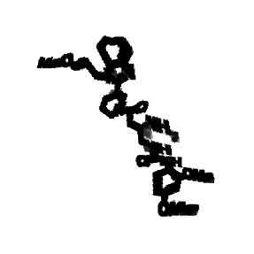 COCCCn1c([C@@H]2CCCN(C(=O)C[C@H](N)CNC(=O)Nc3ccc(OC)cc3OC)C2)nc2ccccc21